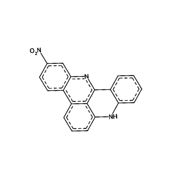 O=[N+]([O-])c1ccc2c(c1)nc1c3c(cccc32)Nc2ccccc2-1